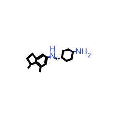 Cc1cc(NC[C@H]2CC[C@H](N)CC2)cc2c1C(C)CC2